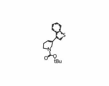 CC(C)(C)OC(=O)N1CCC=C(c2csc3ccccc23)C1